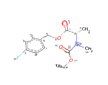 C[C@@H](C(=O)OCc1ccc(F)cc1)N(C)C(=O)OC(C)(C)C